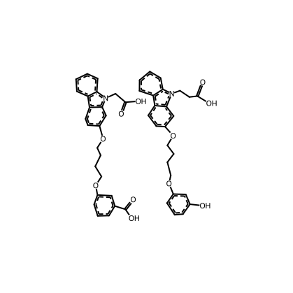 O=C(O)CCn1c2ccccc2c2ccc(OCCCCOc3cccc(O)c3)cc21.O=C(O)Cn1c2ccccc2c2ccc(OCCCCOc3cccc(C(=O)O)c3)cc21